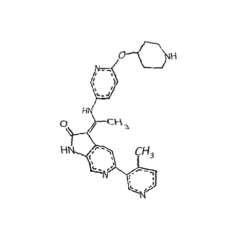 C/C(Nc1ccc(OC2CCNCC2)nc1)=C1/C(=O)Nc2cnc(-c3cnccc3C)cc21